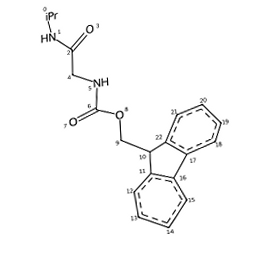 CC(C)NC(=O)CNC(=O)OCC1c2ccccc2-c2ccccc21